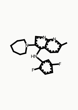 Cc1ccc2c(Nc3cc(F)ccc3F)c(N3CCCCCC3)cnc2n1